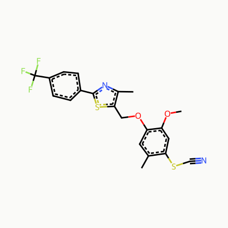 COc1cc(SC#N)c(C)cc1OCc1sc(-c2ccc(C(F)(F)F)cc2)nc1C